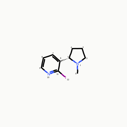 CN1CCC[C@H]1c1cccnc1I